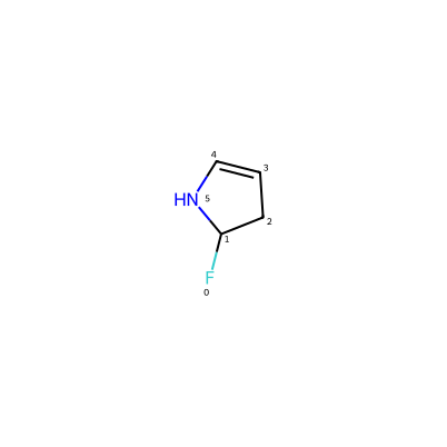 FC1CC=CN1